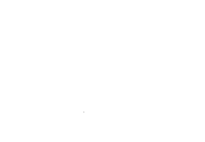 CC(=O)[O-].c1ccc(C[N+](Cc2ccccc2)(Cc2ccccc2)Cc2ccccc2)cc1